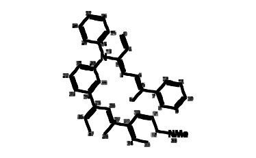 C=C/C(=C\C=C(/C)c1ccccc1)N(c1ccccc1)c1cccc(C(/C=C(C)/C(/C=C\CNC)=C/C)=C/C)c1